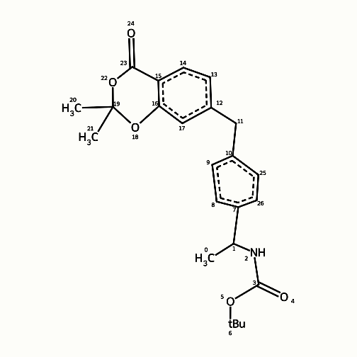 CC(NC(=O)OC(C)(C)C)c1ccc(Cc2ccc3c(c2)OC(C)(C)OC3=O)cc1